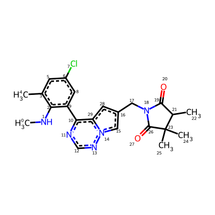 CNc1c(C)cc(Cl)cc1-c1ncnn2cc(CN3C(=O)C(C)C(C)(C)C3=O)cc12